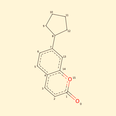 O=c1ccc2ccc(C3CCCC3)cc2o1